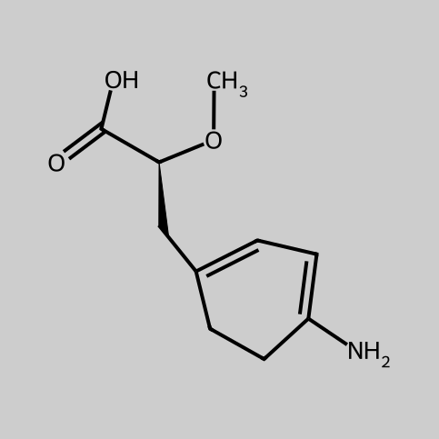 CO[C@@H](CC1=CC=C(N)CC1)C(=O)O